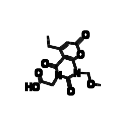 CCc1cc(=O)oc2c1c(=O)n(CC(=O)O)c(=O)n2COC